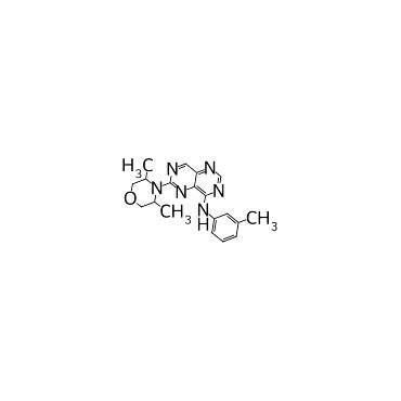 Cc1cccc(Nc2ncnc3cnc(N4C(C)COCC4C)nc23)c1